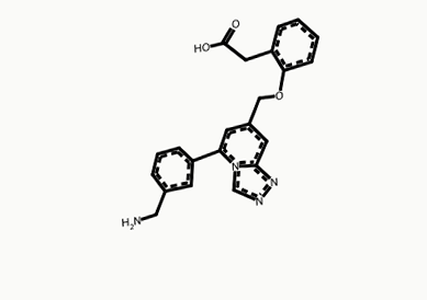 NCc1cccc(-c2cc(COc3ccccc3CC(=O)O)cc3nncn23)c1